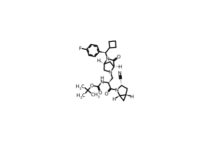 CC(C)(C)OC(=O)N[C@@H](CN1C[C@@H]2C[C@H]1C(=O)N2[C@@H](c1ccc(F)cc1)C1CCC1)C(=O)N1[C@H](C#N)C[C@@H]2C[C@@H]21